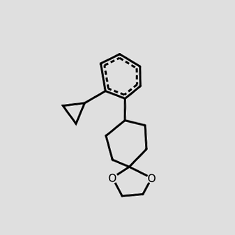 c1ccc(C2CCC3(CC2)OCCO3)c(C2CC2)c1